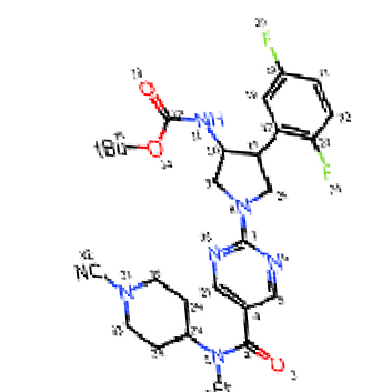 CCN(C(=O)c1cnc(N2CC(NC(=O)OC(C)(C)C)C(c3cc(F)ccc3F)C2)nc1)C1CCN(C#N)CC1